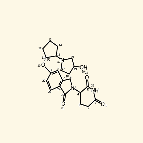 O=C1CCC(N2Cc3cc(O[C@@H]4CCCC4N4CCC(O)C4)ccc3C2=O)C(=O)N1